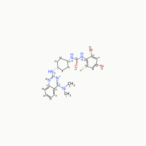 CN(C)c1nc(N[C@H]2CC[C@@H](NC(=O)Nc3c(F)cc(Br)cc3Br)CC2)nc2ccccc12